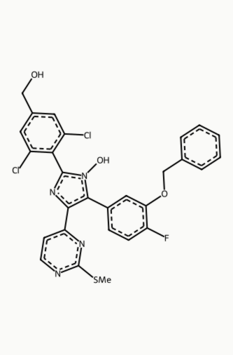 CSc1nccc(-c2nc(-c3c(Cl)cc(CO)cc3Cl)n(O)c2-c2ccc(F)c(OCc3ccccc3)c2)n1